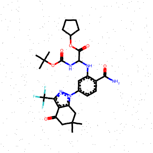 CC1(C)CC(=O)c2c(C(F)(F)F)nn(-c3ccc(C(N)=O)c(NC(NC(=O)OC(C)(C)C)C(=O)OC4CCCC4)c3)c2C1